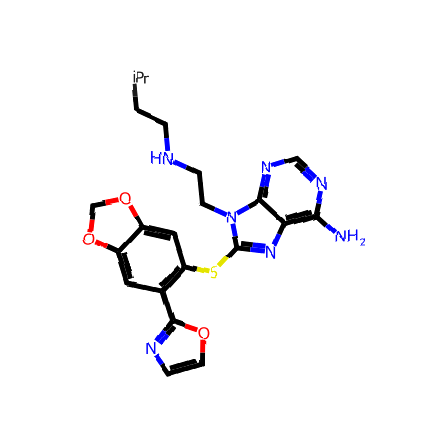 CC(C)CCNCCn1c(Sc2cc3c(cc2-c2ncco2)OCO3)nc2c(N)ncnc21